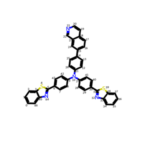 c1ccc2sc(-c3ccc(N(c4ccc(-c5ccc6ccncc6c5)cc4)c4ccc(-c5nc6ccccc6s5)cc4)cc3)nc2c1